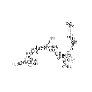 Cc1cccc2c(OC(=O)N3CCN(C)CC3)cc3c(c12)[C@H](CCl)CN3C(=O)c1cc2cc(NC(=O)c3ccc(OC(=O)N(CCOCCO)CCN(C)C(=O)OCc4ccc(NC(=O)[C@H](CCCNC(N)=O)NC(=O)[C@@H](NC(=O)OCCOCCN5C=C(CNC(=O)OCCOCCN6C(=O)C=CC6=O)NN5)C(C)C)cc4)cc3)ncc2[nH]1